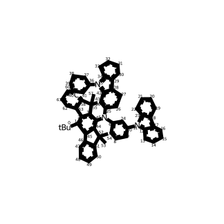 CC(C)(C)c1c2c(c(N(c3cccc(-n4c5ccccc5c5ccccc54)c3)c3ccc4c5ccccc5n(-c5ccccc5)c4c3)c3c1-c1ccccc1C3(C)C)C(C)(C)c1ccccc1-2